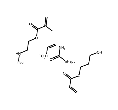 C=C(C)C(=O)OCCNCCCC.C=CC(=O)O.C=CC(=O)OCCCO.CCCCCCCC(N)=O